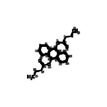 CCCC(=O)Oc1c2ccccc2c(OC(=O)CCC)c2ccccc12